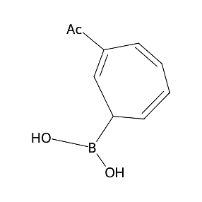 CC(=O)C1=CC(B(O)O)C=CC=C1